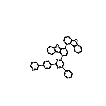 c1ccc(-c2cc(-c3ccc(-c4cccc5oc6ccccc6c45)c4oc5ccccc5c34)nc(-c3ccc(-c4cccnc4)cc3)n2)cc1